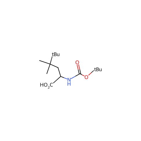 CC(C)(C)OC(=O)NC(CC(C)(C)C(C)(C)C)C(=O)O